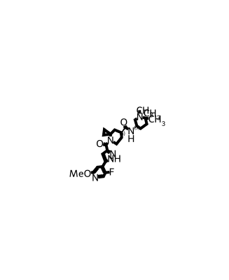 COc1cc(-c2cc(C(=O)N3CC[C@H](C(=O)N[C@H]4CCC(C)(C)N(C)C4)CC34CC4)n[nH]2)c(F)cn1